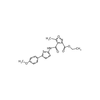 CCOC(=O)c1noc(C)c1C(=O)Nc1ccc(-c2ccc(OC)cc2)s1